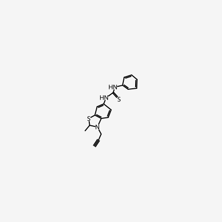 C#CCN1c2ccc(NC(=S)Nc3ccccc3)cc2SC1C